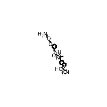 Cc1sc(C(=O)NCc2cccc(OCCOCCN)c2)nc1-c1ccc2c(c1)CCN2C(O)c1cncn1C